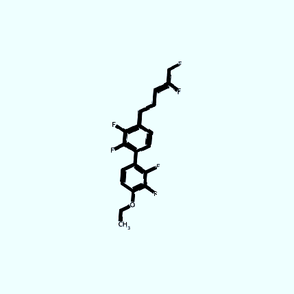 CCOc1ccc(-c2ccc(CCC=C(F)CF)c(F)c2F)c(F)c1F